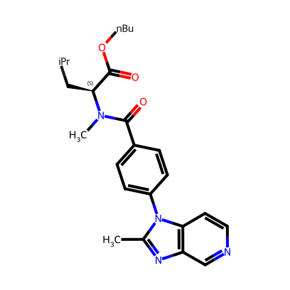 CCCCOC(=O)[C@H](CC(C)C)N(C)C(=O)c1ccc(-n2c(C)nc3cnccc32)cc1